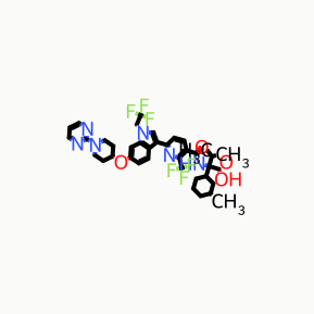 CC1CCCC(C(NC(=O)c2ccc(-c3cn(CC(F)(F)F)c4cc(OC5CCN(c6ncccn6)CC5)ccc34)nc2C(F)(F)F)(C(=O)O)C(C)C)C1